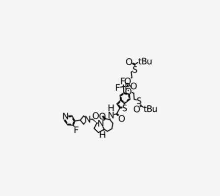 CC(C)(C)C(=O)SCCOP(=O)(OCCSC(=O)C(C)(C)C)C(F)(F)c1ccc2sc(C(=O)NC3CCC[C@H]4CC[C@@H](C(=O)N5CC(c6cnccc6F)C5)N4C3=O)cc2c1